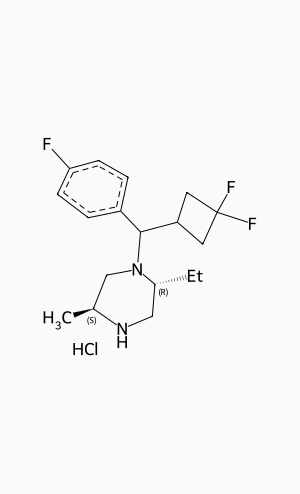 CC[C@@H]1CN[C@@H](C)CN1C(c1ccc(F)cc1)C1CC(F)(F)C1.Cl